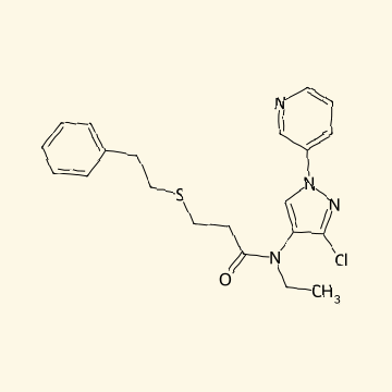 CCN(C(=O)CCSCCc1ccccc1)c1cn(-c2cccnc2)nc1Cl